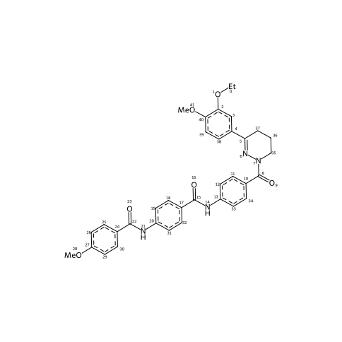 CCOc1cc(C2=NN(C(=O)c3ccc(NC(=O)c4ccc(NC(=O)c5ccc(OC)cc5)cc4)cc3)CCC2)ccc1OC